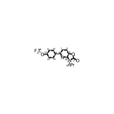 CCCn1c(=O)oc2ccc(-c3ccc(OC(F)(F)F)cc3)nc21